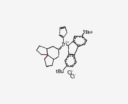 CC(C)(C)c1ccc2c(c1)[CH]([Zr+2]([C]1=CC=CC1)=[C](CC1CCCC1)CC1CCCC1)c1cc(C(C)(C)C)ccc1-2.[Cl-].[Cl-]